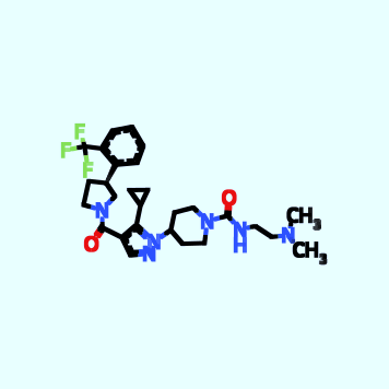 CN(C)CCNC(=O)N1CCC(n2ncc(C(=O)N3CC[C@@H](c4ccccc4C(F)(F)F)C3)c2C2CC2)CC1